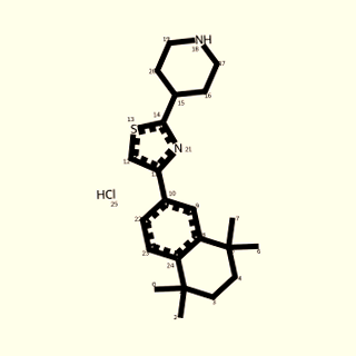 CC1(C)CCC(C)(C)c2cc(-c3csc(C4CCNCC4)n3)ccc21.Cl